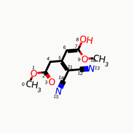 COC(=O)CC(C=C(O)OC)=C(C#N)C#N